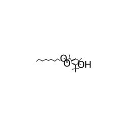 CCCCCCCCCOC(=O)C(C)c1cc(C)c(O)c(C(C)(C)C)c1